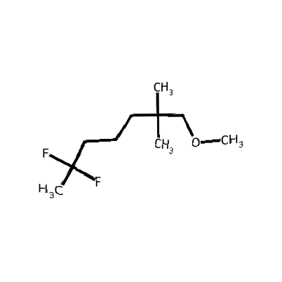 COCC(C)(C)CCCC(C)(F)F